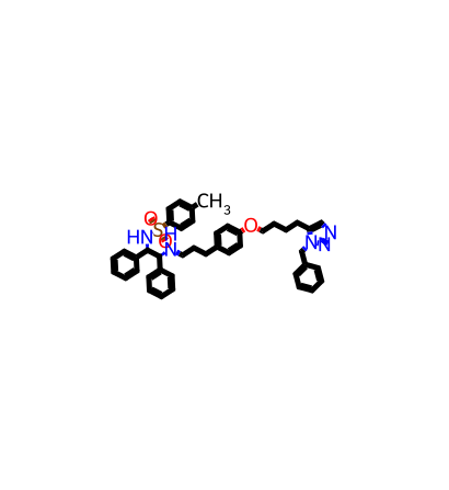 Cc1ccc(S(=O)(=O)N[C@H](c2ccccc2)[C@@H](NCCCc2ccc(OCCCCc3cnnn3Cc3ccccc3)cc2)c2ccccc2)cc1